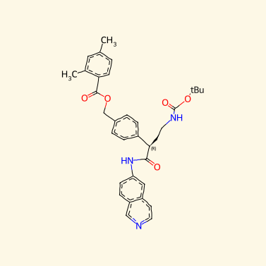 Cc1ccc(C(=O)OCc2ccc([C@@H](CCNC(=O)OC(C)(C)C)C(=O)Nc3ccc4cnccc4c3)cc2)c(C)c1